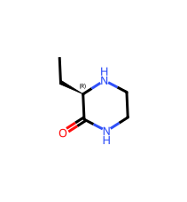 CC[C@H]1NCCNC1=O